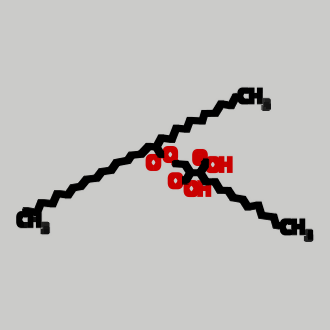 CCCCCCCCCCCCCCCCCCC(CCCCCCCCCCCC)C(=O)OCCC(C(=O)O)C(CCCCCCCCCCCC)C(=O)O